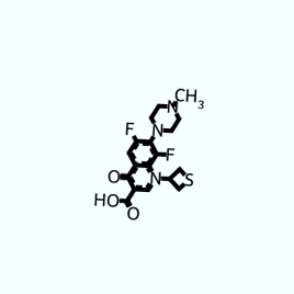 CN1CCN(c2c(F)cc3c(=O)c(C(=O)O)cn(C4CSC4)c3c2F)CC1